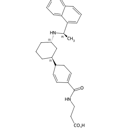 C[C@@H](N[C@H]1CCC[C@H](C2C=CC(C(=O)NCCC(=O)O)=CC2)C1)c1cccc2ccccc12